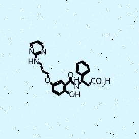 O=C(O)CC(NC(=O)c1cc(OCCCNc2ncccn2)ccc1O)c1ccccc1